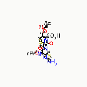 CCCO/N=C(\C(=O)N[C@@H]1C(=O)N2C(C(=O)O)=C(COC(=O)CC(C)=O)CS[C@H]12)c1csc(N)n1